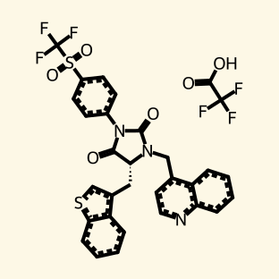 O=C(O)C(F)(F)F.O=C1[C@@H](Cc2csc3ccccc23)N(Cc2ccnc3ccccc23)C(=O)N1c1ccc(S(=O)(=O)C(F)(F)F)cc1